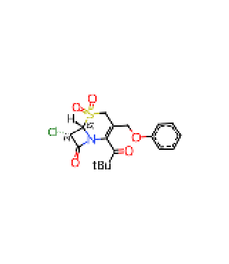 CC(C)(C)C(=O)C1=C(COc2ccccc2)CS(=O)(=O)[C@H]2[C@@H](Cl)C(=O)N12